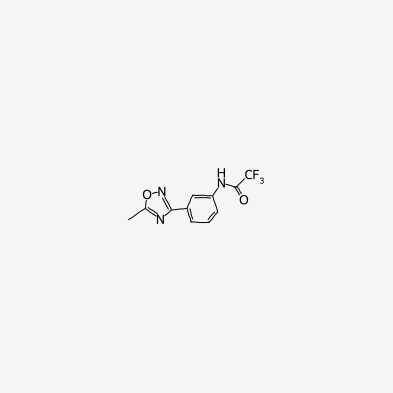 Cc1nc(-c2cccc(NC(=O)C(F)(F)F)c2)no1